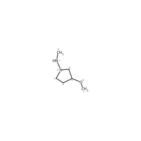 CNN1CCC(OC)C1